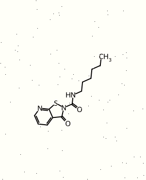 CCCCCCNC(=O)n1sc2ncccc2c1=O